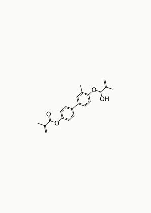 C=C(C)C(=O)Oc1ccc(-c2ccc(OC(O)C(=C)C)c(C)c2)cc1